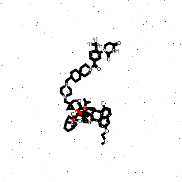 [2H]C([2H])([2H])c1ccc(C(=O)N2CCC3(CCC(CN4CCN(CC5(COc6nc(N7CC8CCC(C7)N8C(=O)OC(C)(C)C)c7cnc(-c8cc(OCOC)cc9ccc(F)c(C#C[Si](C(C)C)(C(C)C)C(C)C)c89)c(F)c7n6)CC5)CC4)CC3)CC2)cc1N1CCC(=O)NC1=O